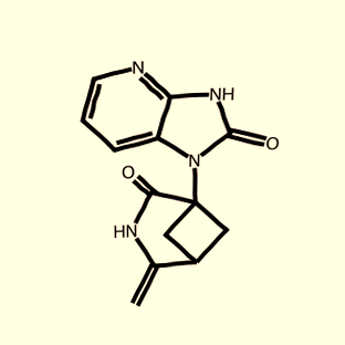 C=C1NC(=O)C2(n3c(=O)[nH]c4ncccc43)CC1C2